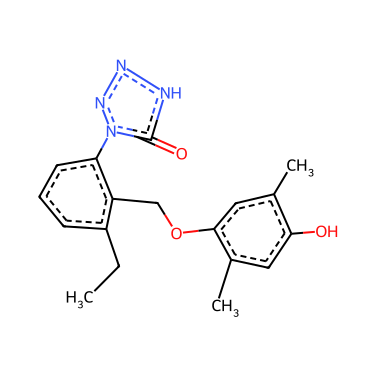 CCc1cccc(-n2nn[nH]c2=O)c1COc1cc(C)c(O)cc1C